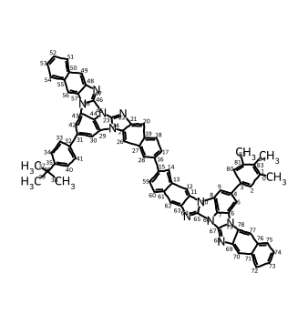 Cc1cc(-c2cc3c4c(c2)n2c5cc6cc(-c7ccc8cc9nc%10n(c9cc8c7)c7cc(-c8ccc(C(C)(C)C)cc8)cc8c7n%10c7nc9cc%10ccccc%10cc9n87)ccc6cc5nc2n4c2nc4cc5ccccc5cc4n32)cc(C)c1C